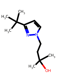 CC(C)(O)CCn1ccc(C(C)(C)C)n1